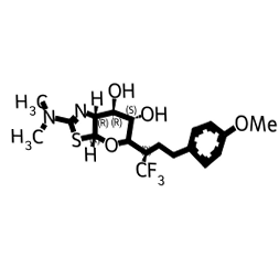 COc1ccc(CC[C@H](C2O[C@@H]3SC(N(C)C)=N[C@@H]3[C@@H](O)[C@@H]2O)C(F)(F)F)cc1